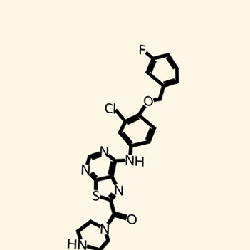 O=C(c1nc2c(Nc3ccc(OCc4cccc(F)c4)c(Cl)c3)ncnc2s1)N1CCNCC1